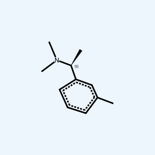 Cc1cccc([C@H](C)N(C)C)c1